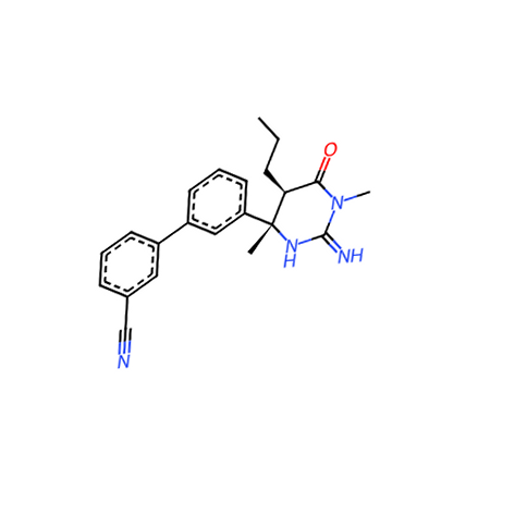 CCC[C@H]1C(=O)N(C)C(=N)N[C@]1(C)c1cccc(-c2cccc(C#N)c2)c1